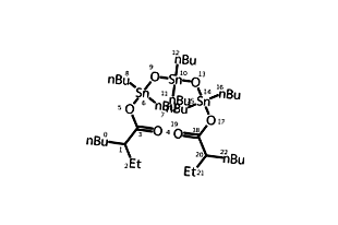 CCCCC(CC)C(=O)[O][Sn]([CH2]CCC)([CH2]CCC)[O][Sn]([CH2]CCC)([CH2]CCC)[O][Sn]([CH2]CCC)([CH2]CCC)[O]C(=O)C(CC)CCCC